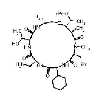 CCCCCC(C)[C@H]1OC[C@@H](C)NC(=O)[C@H]([C@H](C)O)NC(=O)[C@H](CN)NC(=O)[C@H](C2CCCCC2)NC(=O)[C@H](CC(C)C)N(C)C(=O)C1C